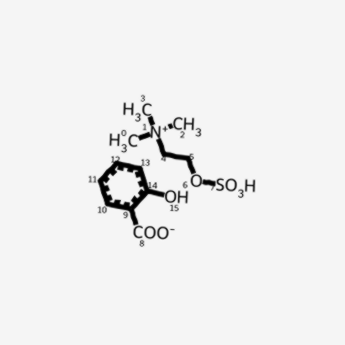 C[N+](C)(C)CCOS(=O)(=O)O.O=C([O-])c1ccccc1O